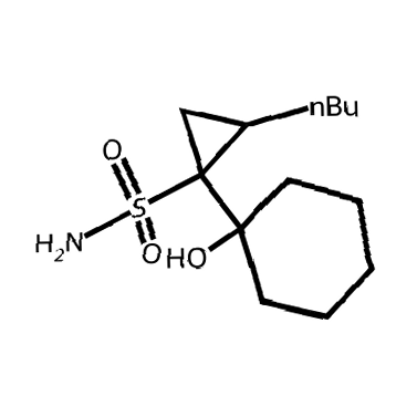 CCCCC1CC1(C1(O)CCCCC1)S(N)(=O)=O